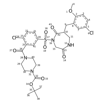 COc1ccc(Cl)cc1CC1CNC(=O)CN(S(=O)(=O)c2ccc(Cl)c(C(=O)N3CCN(C(=O)OC(C)(C)C)CC3)c2)C1=O